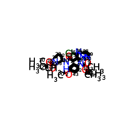 CCOc1ccc(N(C(=O)OC(C)(C)C)c2c(CC(=O)N[C@H]3CCCN(C(=O)OC(C)(C)C)C3)c(Cl)nc3ccnn23)cc1